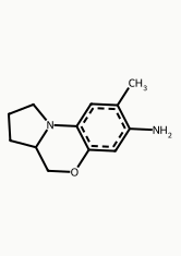 Cc1cc2c(cc1N)OCC1CCCN21